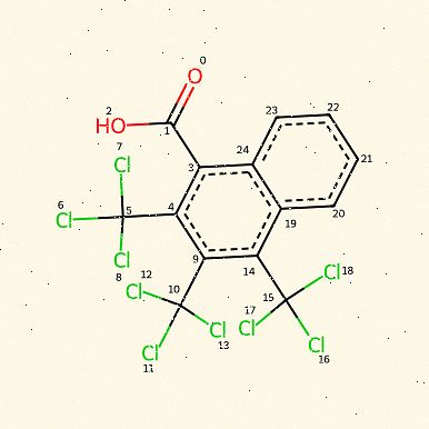 O=C(O)c1c(C(Cl)(Cl)Cl)c(C(Cl)(Cl)Cl)c(C(Cl)(Cl)Cl)c2ccccc12